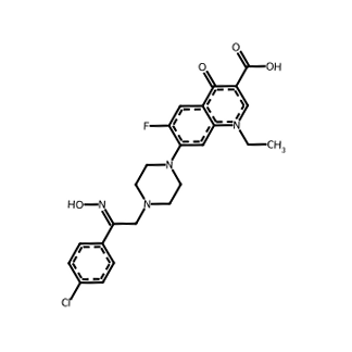 CCn1cc(C(=O)O)c(=O)c2cc(F)c(N3CCN(CC(=NO)c4ccc(Cl)cc4)CC3)cc21